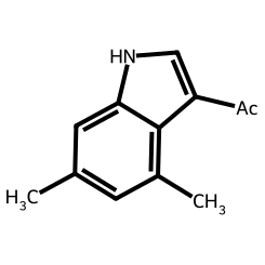 CC(=O)c1c[nH]c2cc(C)cc(C)c12